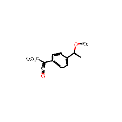 CCOC(=O)C(=C=O)c1ccc(C(C)OCC)cc1